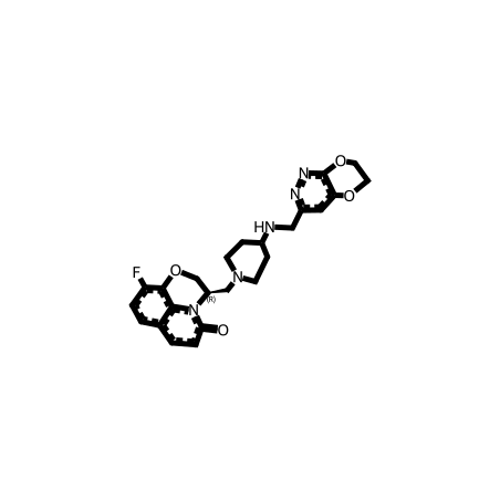 O=c1ccc2ccc(F)c3c2n1[C@H](CN1CCC(NCc2cc4c(nn2)OCCO4)CC1)CO3